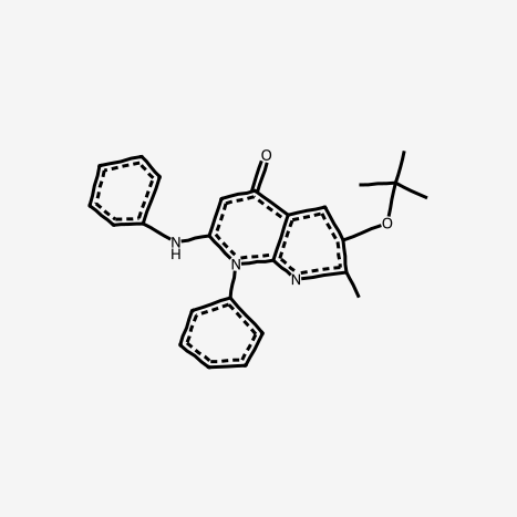 Cc1nc2c(cc1OC(C)(C)C)c(=O)cc(Nc1ccccc1)n2-c1ccccc1